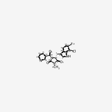 CN1C(=O)[C@@H](Cc2c[nH]c3c(Cl)c(F)ccc23)N(C(=O)c2cccnc2)C1=O